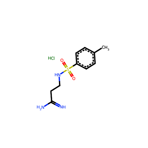 Cc1ccc(S(=O)(=O)NCCC(=N)N)cc1.Cl